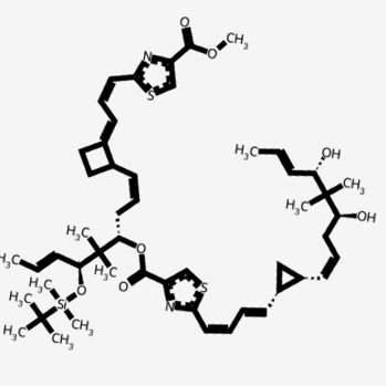 C/C=C/[C@H](O[Si](C)(C)C(C)(C)C)C(C)(C)[C@H](C/C=C\C1CC/C1=C\C=C/c1nc(C(=O)OC)cs1)OC(=O)c1csc(/C=C\C=C\[C@@H]2C[C@@H]2/C=C\C[C@H](O)C(C)(C)[C@@H](O)/C=C/C)n1